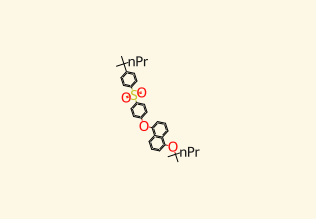 CCCC(C)(C)Oc1cccc2c(Oc3ccc(S(=O)(=O)c4ccc(C(C)(C)CCC)cc4)cc3)cccc12